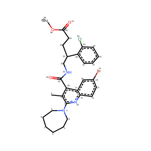 Cc1c(N2CCCCCC2)nc2ccc(Br)cc2c1C(=O)NCC(CCC(=O)OC(C)(C)C)c1ccccc1Cl